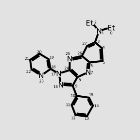 CCN(CC)c1ccc2nc3c(-c4ccccc4)nn(-c4ccccn4)c3nc2c1